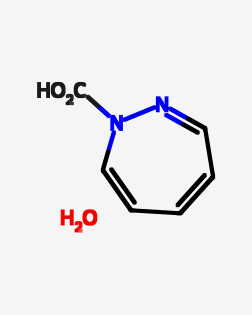 O.O=C(O)N1C=CC=CC=N1